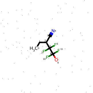 CCC(C#N)C(F)(F)C([O])(F)F